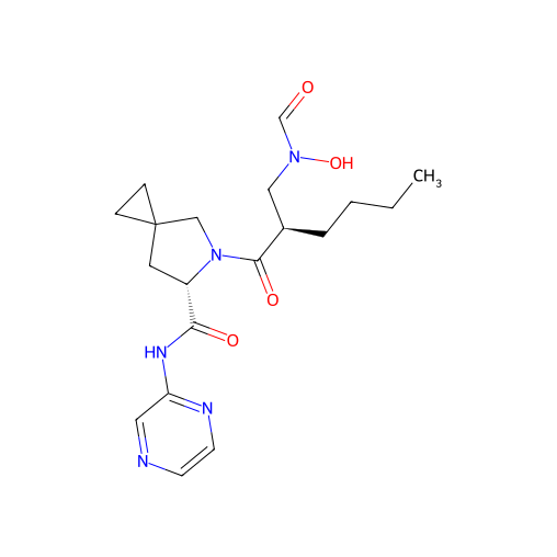 CCCC[C@H](CN(O)C=O)C(=O)N1CC2(CC2)C[C@H]1C(=O)Nc1cnccn1